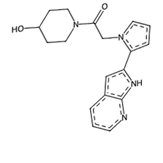 O=C(Cn1cccc1-c1cc2cccnc2[nH]1)N1CCC(O)CC1